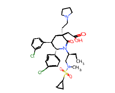 CC[C@@H](CN(C)S(=O)(=O)C1CC1)N1C(=O)[C@](CCN2CCCC2)(CC(=O)O)C[C@H](c2cccc(Cl)c2)[C@H]1c1ccc(Cl)cc1